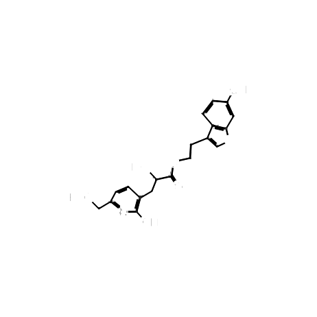 CCc1ccc(CC(O)C(=O)OCCc2csc3cc(O)ccc23)c(C)n1